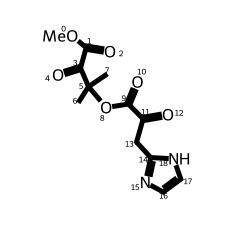 COC(=O)C(=O)C(C)(C)OC(=O)C(=O)Cc1ncc[nH]1